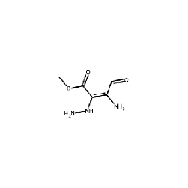 COC(=O)/C(NN)=C(/N)C=O